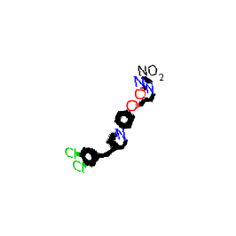 O=[N+]([O-])c1cn2c(n1)OC(COc1ccc(N3CCC(Cc4ccc(Cl)c(Cl)c4)CC3)cc1)CC2